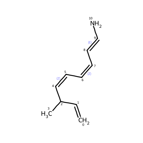 C=CC(C)\C=C/C=C\C=C\N